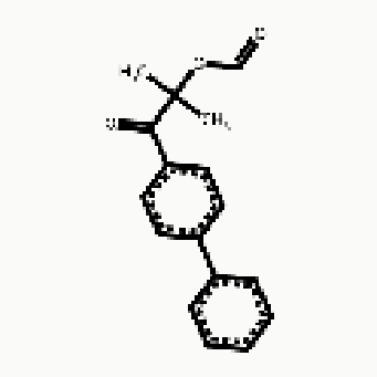 CC(C)(O[C]=O)C(=O)c1ccc(-c2ccccc2)cc1